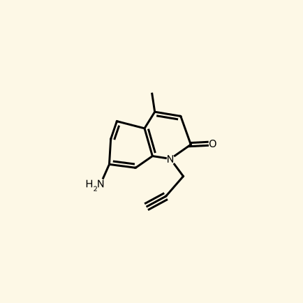 C#CCn1c(=O)cc(C)c2ccc(N)cc21